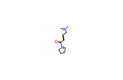 CN(C)CC=CC(=O)N1CCCC1